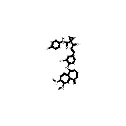 C=C1C=CC=C(Oc2ccc(/C=C/C(=O)C3(C(=O)Nc4ccc(F)cc4)CC3)cc2F)C2=C=CC(OC)=C(OC)C=C12